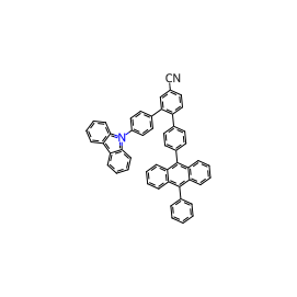 N#Cc1ccc(-c2ccc(-c3c4ccccc4c(-c4ccccc4)c4ccccc34)cc2)c(-c2ccc(-n3c4ccccc4c4ccccc43)cc2)c1